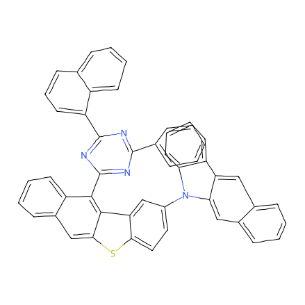 c1ccc(-c2nc(-c3cccc4ccccc34)nc(-c3c4ccccc4cc4sc5ccc(-n6c7ccccc7c7cc8ccccc8cc76)cc5c34)n2)cc1